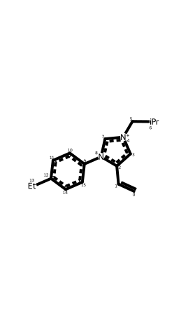 C=Cc1c[n+](CC(C)C)cn1-c1ccc(CC)cc1